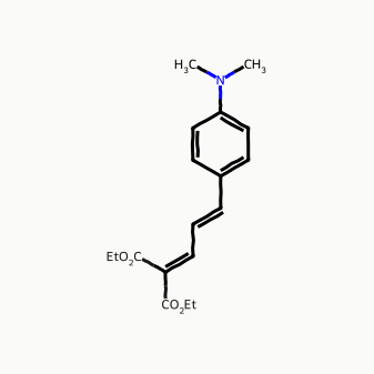 CCOC(=O)C(=CC=Cc1ccc(N(C)C)cc1)C(=O)OCC